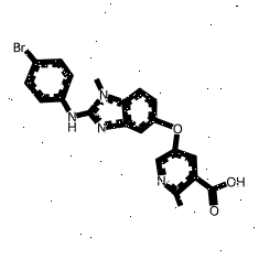 Cc1ncc(Oc2ccc3c(c2)nc(Nc2ccc(Br)cc2)n3C)cc1C(=O)O